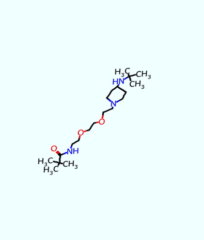 CC(C)(C)NC1CCN(CCOCCOCCNC(=O)C(C)(C)C)CC1